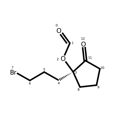 O=CO[C@]1(CCCBr)CCCC1=O